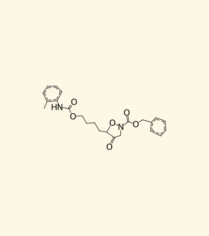 Cc1ccccc1NC(=O)OCCCCC1ON(C(=O)OCc2ccccc2)CC1=O